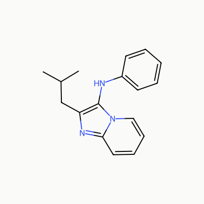 CC(C)Cc1nc2ccccn2c1Nc1ccccc1